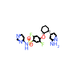 Nc1cc([C@H]2CCCC[C@@H]2Oc2cc(F)c(S(=O)(=O)Nc3ccncn3)cc2F)ccn1